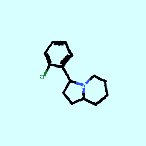 Clc1ccccc1C1CCC2CCCCN21